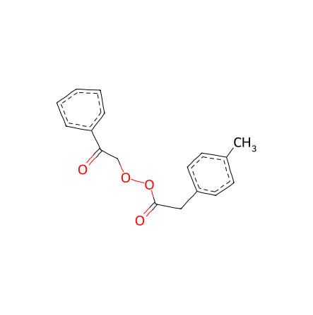 Cc1ccc(CC(=O)OOCC(=O)c2ccccc2)cc1